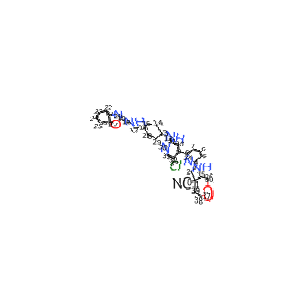 N#CC1(CNc2cccc(-c3cc(N[C@H]4CC[C@H](CNc5nc6ccccc6o5)CC4)ncc3Cl)n2)CCOCC1